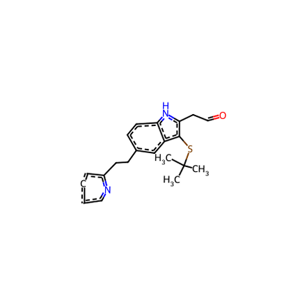 CC(C)(C)Sc1c(CC=O)[nH]c2ccc(CCc3ccccn3)cc12